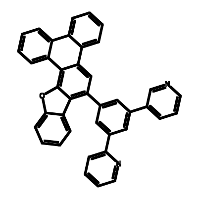 c1ccc(-c2cc(-c3cccnc3)cc(-c3cc4c5ccccc5c5ccccc5c4c4oc5ccccc5c34)c2)nc1